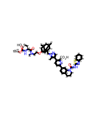 Cc1c(-c2ccc(-c3ccc4c(c3)N(C(=O)Nc3nc5ccccc5s3)CCC4)nc2C(=O)O)cnn1CC12CC3(C)CC(C)(C1)CC(OCCN(C)C(=O)[C@H](CS(=O)(=O)O)NC(=O)OC(C)(C)C)(C3)C2